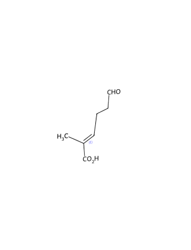 C/C(=C\CCC=O)C(=O)O